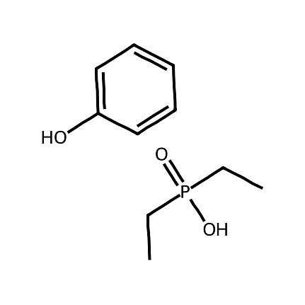 CCP(=O)(O)CC.Oc1ccccc1